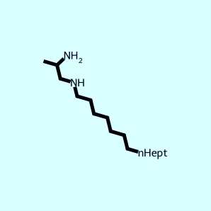 CCCCCCCCCCCCCCNCC(C)N